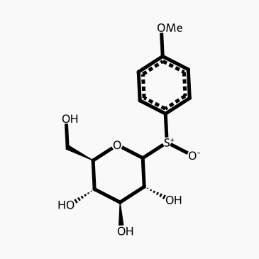 COc1ccc([S+]([O-])C2O[C@H](CO)[C@@H](O)[C@H](O)[C@H]2O)cc1